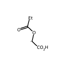 CCC(=O)O[CH]C(=O)O